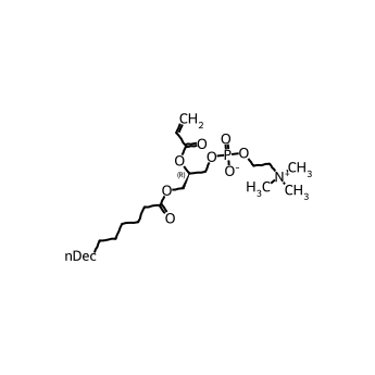 C=CC(=O)O[C@H](COC(=O)CCCCCCCCCCCCCCC)COP(=O)([O-])OCC[N+](C)(C)C